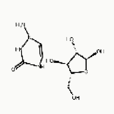 NN1C=CNC(=O)N1.OC[C@H]1O[C@H](O)[C@@H](O)[C@@H]1O